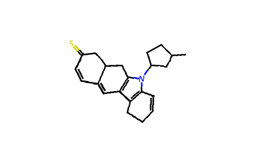 CC1CCC(n2c3c(c4c2CC2CC(=S)C=CC2=C4)CCC=C3)C1